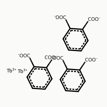 O=C([O-])c1ccccc1C(=O)[O-].O=C([O-])c1ccccc1C(=O)[O-].O=C([O-])c1ccccc1C(=O)[O-].[Tb+3].[Tb+3]